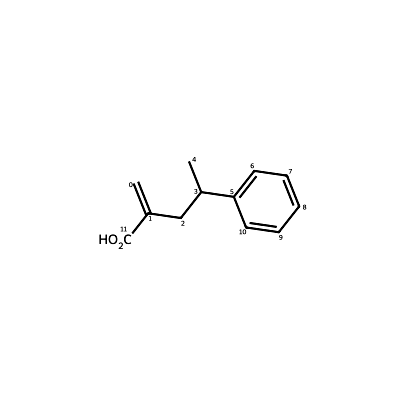 C=C(CC(C)c1ccccc1)C(=O)O